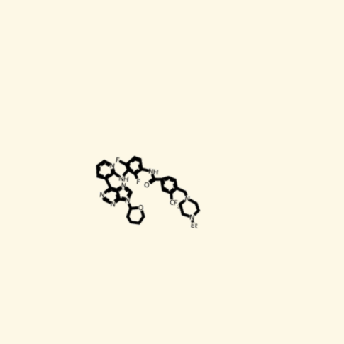 CCN1CCN(Cc2ccc(C(=O)Nc3ccc(F)c(Nc4ncccc4-c4ncnc5c4ncn5C4CCCCO4)c3F)cc2C(F)(F)F)CC1